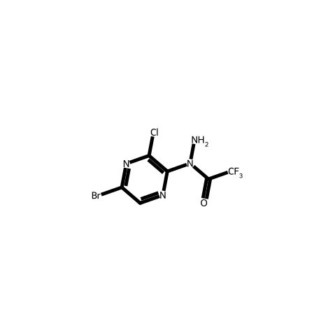 NN(C(=O)C(F)(F)F)c1ncc(Br)nc1Cl